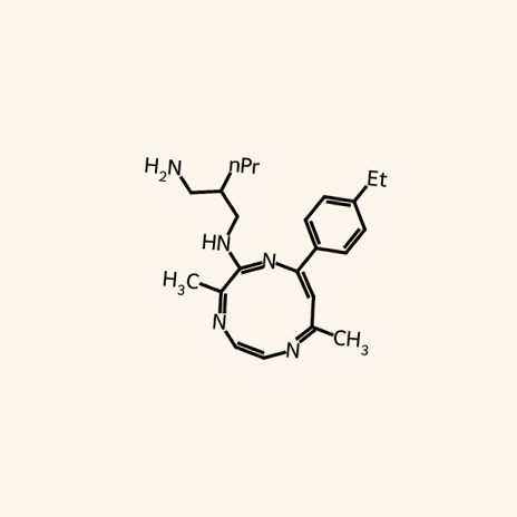 CCCC(CN)CNc1nc(-c2ccc(CC)cc2)cc(C)nccnc1C